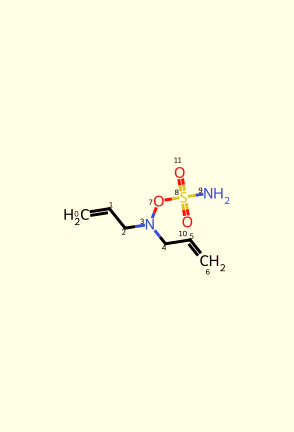 C=CCN(CC=C)OS(N)(=O)=O